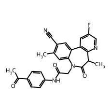 CC(=O)c1ccc(NC(=O)CN2C(=O)C(C)c3ncc(F)cc3-c3cc(C#N)c(C)cc32)cc1